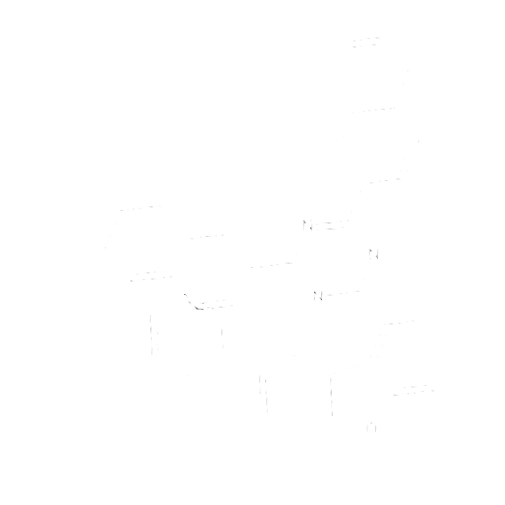 c1ccc(-c2ccc3oc4cccc(-c5nc(-c6ccc7ccccc7c6)nc(-c6ccc7ccccc7c6)n5)c4c3c2)cc1